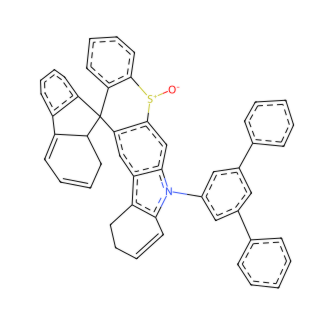 [O-][S+]1c2ccccc2C2(c3ccccc3C3=CC=CCC32)c2cc3c4c(n(-c5cc(-c6ccccc6)cc(-c6ccccc6)c5)c3cc21)C=CCC4